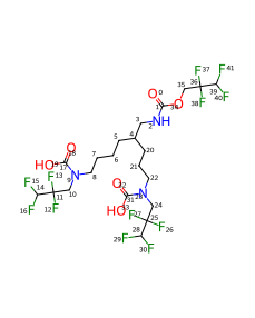 O=C(NCC(CCCCN(CC(F)(F)C(F)F)C(=O)O)CCCN(CC(F)(F)C(F)F)C(=O)O)OCC(F)(F)C(F)F